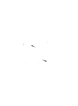 C[C@@H](S)[C@@H](C)S